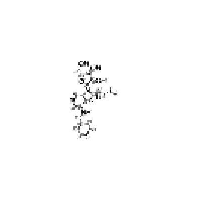 C=CCNc1nc2c(n1[C@@H]1O[C@H](CO)[C@@H](O)[C@H]1O)C=NCN2NCc1ccccc1